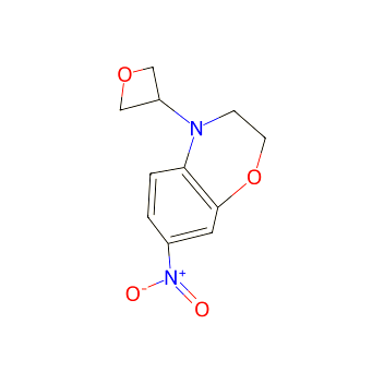 O=[N+]([O-])c1ccc2c(c1)OCCN2C1COC1